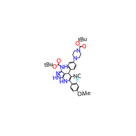 [C-]#[N+]C1=C(c2ccc(OC)cc2F)Nc2[nH]nc(NC(=O)OC(C)(C)C)c2C1c1ccc(N2CCN(C(=O)OC(C)(C)C)CC2)cc1